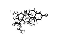 C[C@@]12C[C@H]3[C@@H]4CCC5=CC(=O)C=C[C@]5(C)[C@@]4(F)[C@@H](O)C[C@]3(C)[C@@]1(C(=O)SCCl)O2